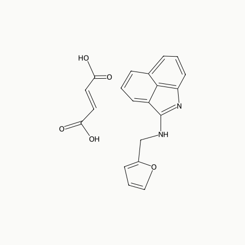 O=C(O)C=CC(=O)O.c1coc(CNC2=Nc3cccc4cccc2c34)c1